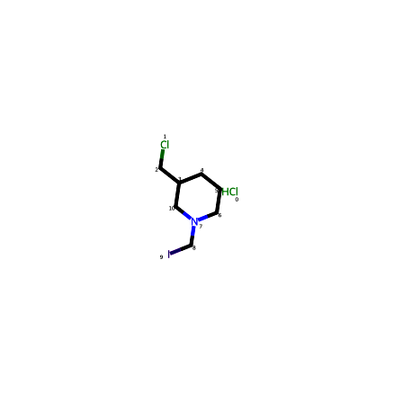 Cl.ClCC1CCCN(CI)C1